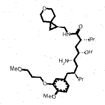 COCCCOc1cc(C[C@@H](C[C@H](N)[C@@H](O)C[C@H](C(=O)NC[C@H]2CC23CCOCC3)C(C)C)C(C)C)ccc1OC